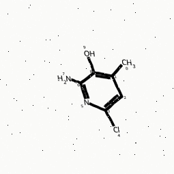 Cc1cc(Cl)nc(N)c1O